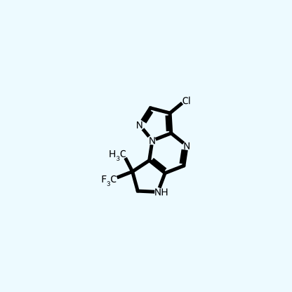 CC1(C(F)(F)F)CNc2cnc3c(Cl)cnn3c21